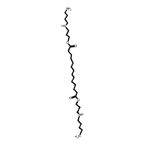 NCCCCNCCCOC(=O)CCCCCCCCCCCCC(=O)OCCCNCCCCN